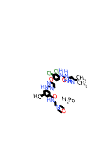 C#Cc1cc(Nc2nccc(Oc3ccc(NC(=O)Nc4cc(C(C)C)n[nH]4)c(Cl)c3Cl)n2)cc(C(=O)NCCN2CCOCC2)c1.[PoH2]